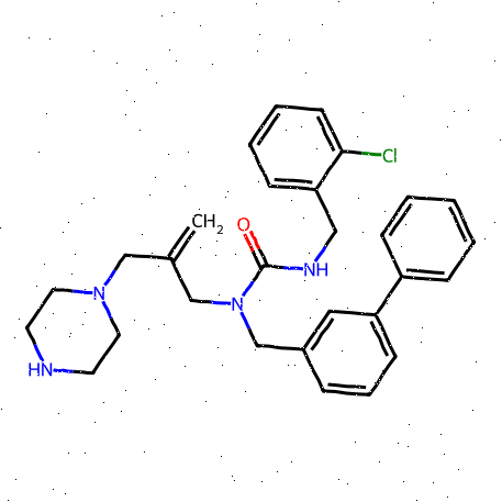 C=C(CN1CCNCC1)CN(Cc1cccc(-c2ccccc2)c1)C(=O)NCc1ccccc1Cl